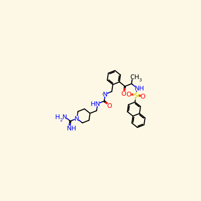 CC(NS(=O)(=O)c1ccc2ccccc2c1)C(=O)c1ccccc1C[N]C(=O)NCC1CCN(C(=N)N)CC1